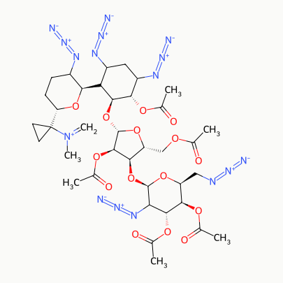 C=[N+](C)C1([C@@H]2CCC(N=[N+]=[N-])[C@@H](C3C(N=[N+]=[N-])CC(N=[N+]=[N-])[C@H](OC(C)=O)[C@H]3O[C@@H]3O[C@H](COC(C)=O)[C@@H](O[C@H]4O[C@@H](CN=[N+]=[N-])[C@@H](OC(C)=O)[C@H](OC(C)=O)C4N=[N+]=[N-])[C@H]3OC(C)=O)O2)CC1